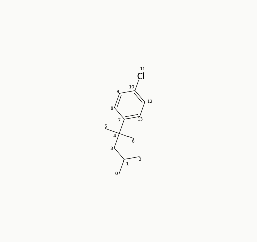 CC(C)CC(C)(C)c1ccc(Cl)cc1